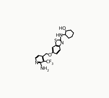 Nc1nccc(COc2ccc3nc(NC4CCCC[C@H]4O)sc3c2)c1C(F)(F)F